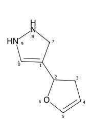 [C]1=C(C2CC=CO2)CNN1